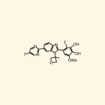 COc1cc(-c2nc3ccc(-c4ncc(F)cn4)cc3n2C2(C)COC2)c(F)c(O)c1O